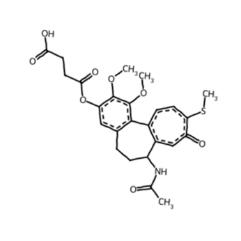 COc1c(OC(=O)CCC(=O)O)cc2c(c1OC)-c1ccc(SC)c(=O)cc1C(NC(C)=O)CC2